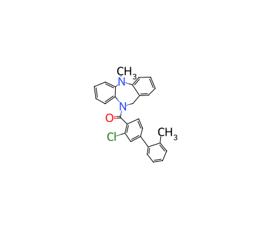 Cc1ccccc1-c1ccc(C(=O)N2Cc3ccccc3N(C)c3ccccc32)c(Cl)c1